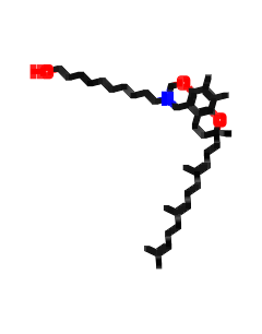 CC(C)=CCC/C(C)=C/CC/C(C)=C/CC[C@]1(C)CCc2c3c(c(C)c(C)c2O1)OCN(CCCCCCCCCCO)C3